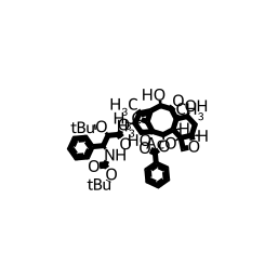 CC(=O)O[C@@]12CO[C@@H]1C[C@H](O)[C@@]1(C)C(=O)[C@H](O)C3=C(C)[C@@H](OC(=O)[C@H](OC(C)(C)C)[C@@H](NC(=O)OC(C)(C)C)c4ccccc4)C[C@@](O)([C@@H](OC(=O)c4ccccc4)[C@H]21)C3(C)C